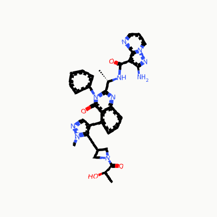 CC(O)C(=O)N1CC(c2c(-c3cccc4nc([C@H](C)NC(=O)c5c(N)nn6cccnc56)n(-c5ccccc5)c(=O)c34)cnn2C)C1